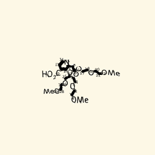 COCCOCCOC(Cc1cc(C(=O)O)ccn1)(OCCOCCOC)OCCOCCOC